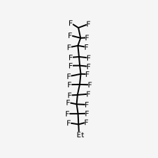 CCC(F)(F)C(F)(F)C(F)(F)C(F)(F)C(F)(F)C(F)(F)C(F)(F)C(F)(F)C(F)(F)C(F)(F)C(F)F